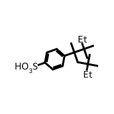 CCC(C)(C)CC(C)(c1ccc(S(=O)(=O)O)cc1)C(C)(C)CC